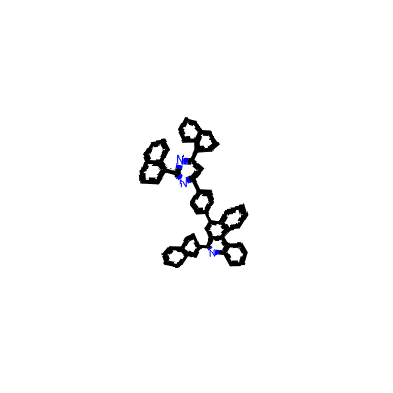 c1ccc2cc(-c3nc4ccccc4c4c3cc(-c3ccc(-c5cc(-c6cccc7ccccc67)nc(-c6cccc7ccccc67)n5)cc3)c3ccccc34)ccc2c1